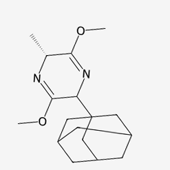 COC1=N[C@H](C)C(OC)=NC1C12CC3CC(CC(C3)C1)C2